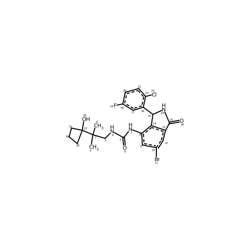 CC(C)(CNC(=O)Nc1cc(Br)cc2c1C(c1cc(F)ccc1Cl)NC2=O)C1(O)CCC1